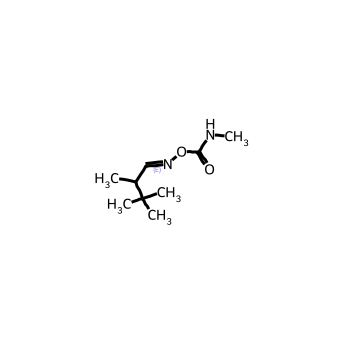 CNC(=O)O/N=C/C(C)C(C)(C)C